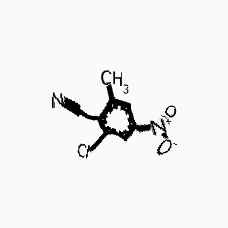 Cc1cc([N+](=O)[O-])cc(Cl)c1C#N